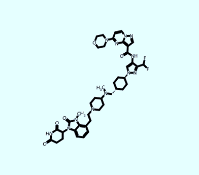 CN(C[C@H]1CC[C@H](n2cc(NC(=O)c3cnn4ccc(N5CCOCC5)nc34)c(C(F)F)n2)CC1)C1CCN(CCc2cccc3c2n(C)c(=O)n3C2CCC(=O)NC2=O)CC1